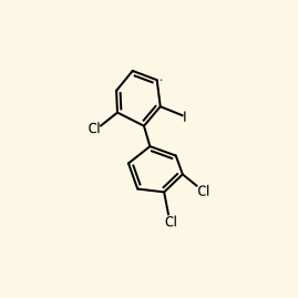 Clc1ccc(-c2c(I)[c]ccc2Cl)cc1Cl